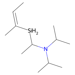 CC=C(C)[SiH2]C(C)N(C(C)C)C(C)C